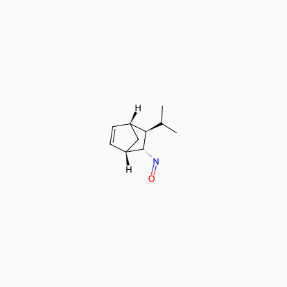 CC(C)[C@H]1[C@H](N=O)[C@@H]2C=C[C@H]1C2